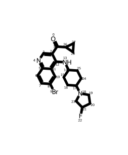 O=C(c1cnc2ccc(Br)cc2c1NC1CCC(N2CCC(F)C2)CC1)C1CC1